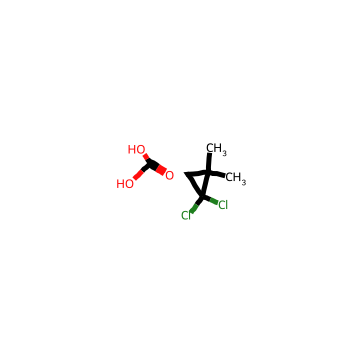 CC1(C)CC1(Cl)Cl.O=C(O)O